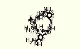 C[C@@H]1C(=O)N[C@H](Cc2ccc(C(=N)N)cc2)C(=O)NCCCc2cccc(C(=N)N)c2OCCN[C@@H](C2CC2)C(=O)N1C